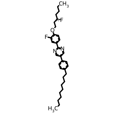 CCCCCCCCCCc1ccc(-c2cnc(-c3ccc(OCC[C@H](F)CCCC)c(F)c3)nc2)cc1